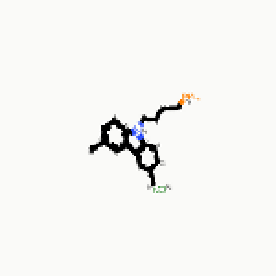 Cc1ccc2c(c1)c1cc(C)ccc1n2CCCCP.Cl